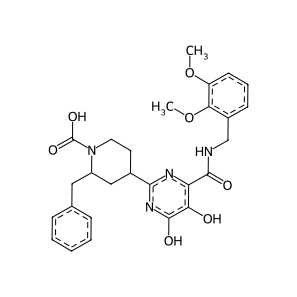 COc1cccc(CNC(=O)c2nc(C3CCN(C(=O)O)C(Cc4ccccc4)C3)nc(O)c2O)c1OC